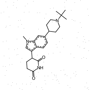 Cn1cc(C2CCC(=O)NC2=O)c2ccc(C3CCN(C(C)(C)C)CC3)cc21